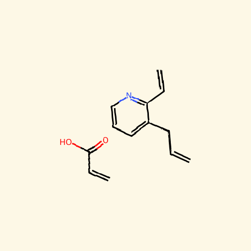 C=CC(=O)O.C=CCc1cccnc1C=C